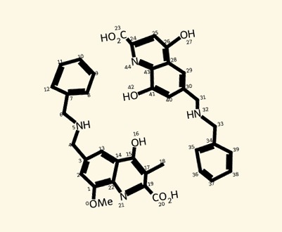 COc1cc(CNCc2ccccc2)cc2c(O)c(C)c(C(=O)O)nc12.O=C(O)c1cc(O)c2cc(CNCc3ccccc3)cc(O)c2n1